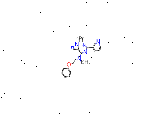 CCCn1ncc2c(N(C)CCOc3ccccc3)nc(-c3cccnc3)nc21